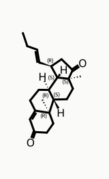 CCC=C[C@H]1CC(=O)[C@@]2(C)CC[C@H]3[C@@H](CCC4=CC(=O)CC[C@@]43C)[C@H]12